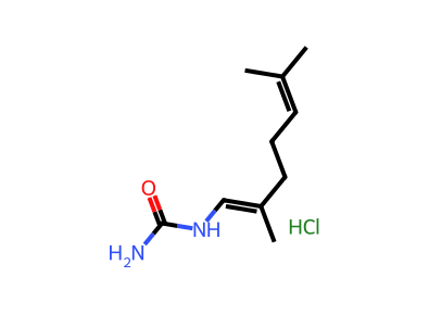 CC(C)=CCCC(C)=CNC(N)=O.Cl